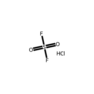 Cl.O=S(=O)(F)F